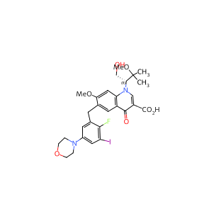 COc1cc2c(cc1Cc1cc(N3CCOCC3)cc(I)c1F)c(=O)c(C(=O)O)cn2[C@H](CO)C(C)(C)OC